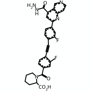 NNC(=O)c1cc(-c2ccc(C#Cc3ccc(C(=O)N4CCCCC4C(=O)O)cc3F)c(F)c2)nc2ccncc12